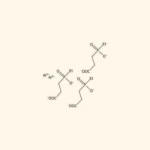 CCP(=O)([O-])CCC(=O)[O-].CCP(=O)([O-])CCC(=O)[O-].CCP(=O)([O-])CCC(=O)[O-].[Al+3].[Al+3]